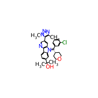 Cc1nnn(C)c1-c1cnc2c3ccc(C(C)(C)O)cc3n([C@H](c3cccc(Cl)c3)C3CCOCC3)c2c1